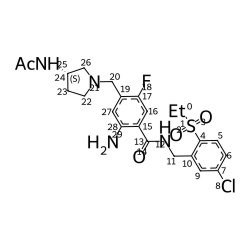 CCS(=O)(=O)c1ccc(Cl)cc1CNC(=O)c1cc(F)c(CN2CC[C@H](NC(C)=O)C2)cc1N